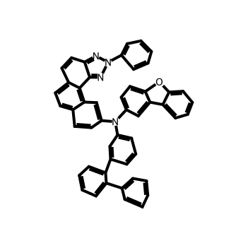 c1ccc(-c2ccccc2-c2cccc(N(c3ccc4oc5ccccc5c4c3)c3ccc4ccc5ccc6nn(-c7ccccc7)nc6c5c4c3)c2)cc1